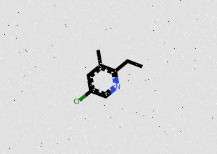 CCc1ncc(Cl)cc1C